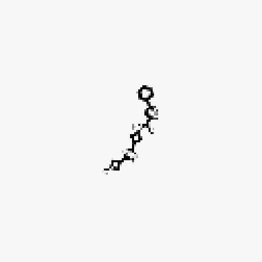 O=C(NC1CC(c2nnc(C3C[S+]([O-])C3)o2)C1)c1cc(-c2ccccc2)no1